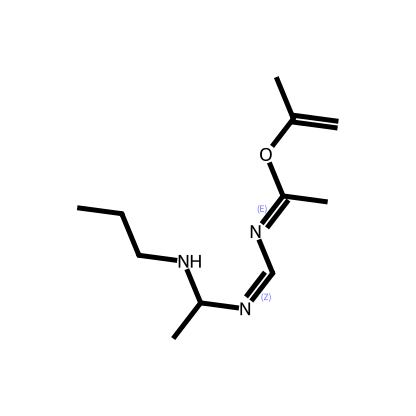 C=C(C)O/C(C)=N/C=N\C(C)NCCC